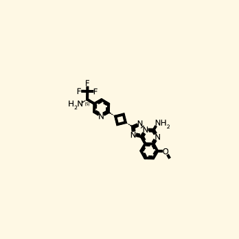 COc1cccc2c1nc(N)n1nc([C@H]3C[C@@H](c4ccc([C@H](N)C(F)(F)F)cn4)C3)nc21